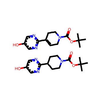 CC(C)(C)OC(=O)N1CC=C(c2ncc(O)cn2)CC1.CC(C)(C)OC(=O)N1CCC(c2ncc(O)cn2)CC1